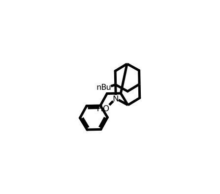 CCCCC12CC3CC(C1)C(Cc1ccccc1)C(C3)N2O